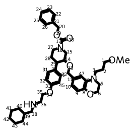 COCCCN1CCOc2ccc(COC3CN(C(=O)OCc4ccccc4)CCC3c3ccc(OCCNCC4CCCCC4)cc3)cc21